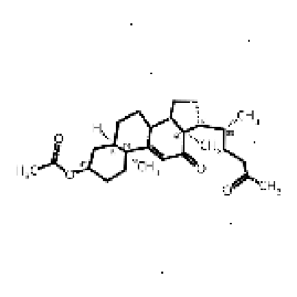 CC(=O)CC[C@@H](C)[C@H]1CCC2C3CC[C@@H]4C[C@H](OC(C)=O)CC[C@]4(C)C3=CC(=O)[C@@]21C